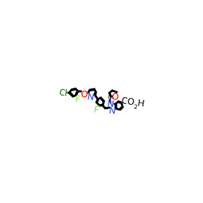 O=C(O)c1ccc2nc(Cc3ccc(-c4cccc(OCc5ccc(Cl)cc5F)n4)cc3F)n(C[C@H]3CCCO3)c2c1